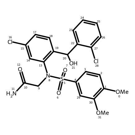 COc1ccc(S(=O)(=O)N(CC(N)=O)c2cc(Cl)ccc2C(O)c2ccccc2Cl)cc1OC